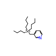 CCC[CH2][Sn]([CH2]CCC)([CH2]CCC)[CH2]c1cccnc1